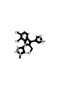 Cn1cc(-n2c(CO)c(-c3cn[nH]c3)c3ccc(Cl)c(Cl)c32)nn1